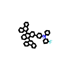 Fc1cccc(N(c2ccccc2)c2ccc(-c3ccc4c(-c5cc6ccccc6c6ccccc56)c5ccccc5c(-c5cc6ccccc6c6ccccc56)c4c3)cc2)c1